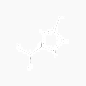 [CH2]c1cc(C(C)C)no1